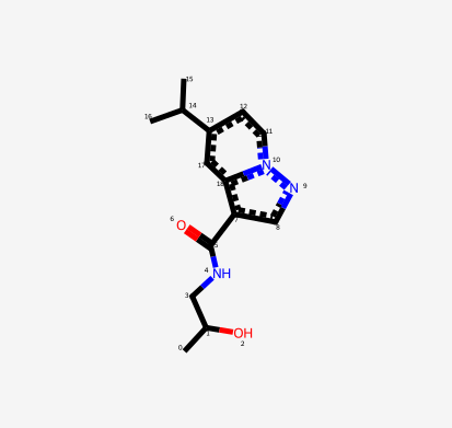 CC(O)CNC(=O)c1cnn2ccc(C(C)C)cc12